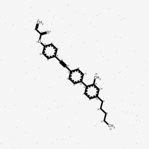 C=CC(=O)Oc1ccc(C#Cc2ccc(-c3ccc(CCCCC)cc3C)cc2)cc1